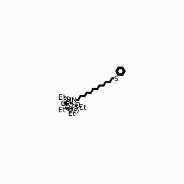 CCOP(=O)(OCC)C(NCCCCCCCCCCCCSc1ccccc1)P(=O)(OCC)OCC